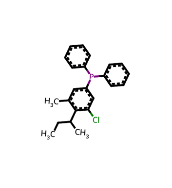 CCC(C)c1c(C)cc(P(c2ccccc2)c2ccccc2)cc1Cl